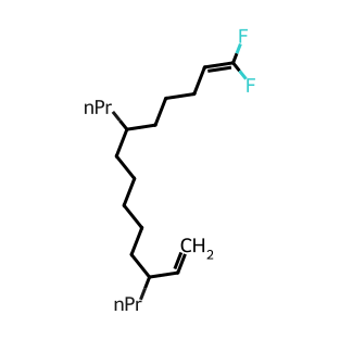 C=CC(CCC)CCCCCC(CCC)CCCC=C(F)F